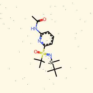 CC(=O)Nc1cccc(S(=O)(=N[Si](C)(C)C(C)(C)C)C(C)(C)C)n1